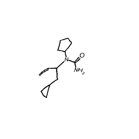 C=CC(CC1CC1)N(C(N)=O)C1CCCC1